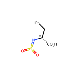 CC(C)C[C@@H](N=S(=O)=O)C(=O)O